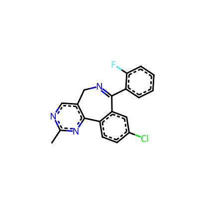 Cc1ncc2c(n1)-c1ccc(Cl)cc1C(c1ccccc1F)=NC2